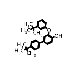 CC(C)(C)c1ccc(-c2ccc(O)c(Oc3cccc(C(C)(C)C)c3)c2)cc1